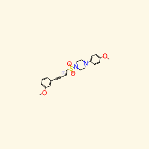 COc1ccc(N2CCN(S(=O)(=O)/C=C/C#Cc3cccc(OC)c3)CC2)cc1